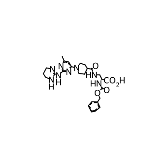 Cc1cc(N2CCC(C(=O)NC[C@H](NC(=O)OCc3ccccc3)C(=O)O)CC2)nc(NC2=NCCCN2)n1